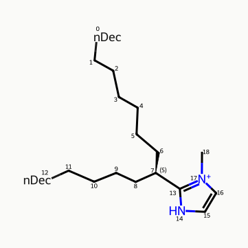 CCCCCCCCCCCCCCCC[C@H](CCCCCCCCCCCCCC)c1[nH]cc[n+]1C